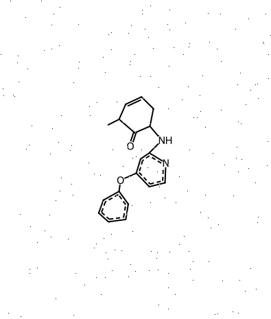 CC1C=CCC(Nc2cc(Oc3ccccc3)ccn2)C1=O